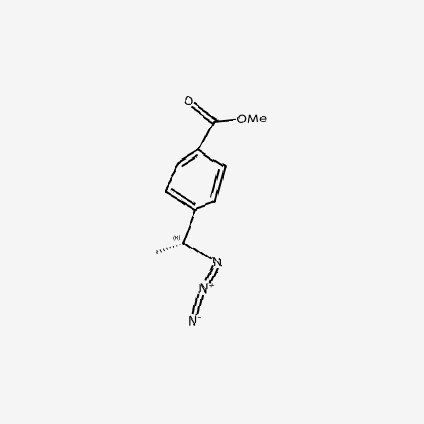 COC(=O)c1ccc([C@@H](C)N=[N+]=[N-])cc1